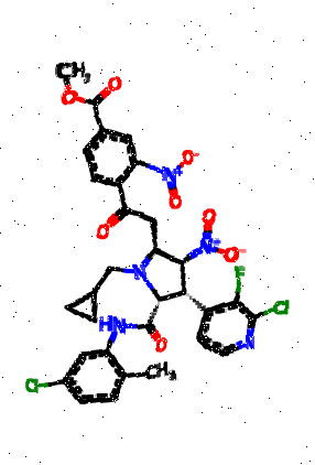 COC(=O)c1ccc(C(=O)C[C@H]2[C@@H]([N+](=O)[O-])[C@H](c3ccnc(Cl)c3F)[C@H](C(=O)Nc3cc(Cl)ccc3C)N2CC2CC2)c([N+](=O)[O-])c1